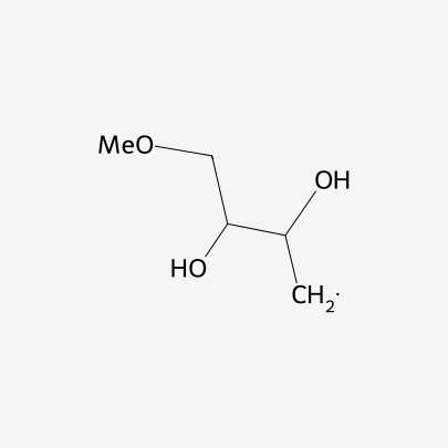 [CH2]C(O)C(O)COC